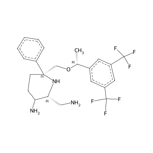 C[C@@H](OC[C@@]1(c2ccccc2)CCC(N)[C@@H](CN)N1)c1cc(C(F)(F)F)cc(C(F)(F)F)c1